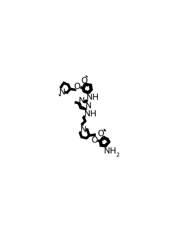 COc1ccc(Nc2nc(C)cc(NCCCN3CCCC(COc4cc(N)ccc4OC)C3)n2)cc1OCC1CCCN(C)C1